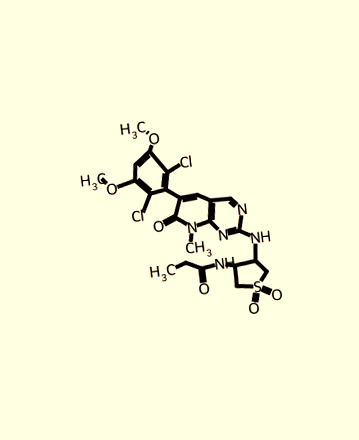 CCC(=O)NC1CS(=O)(=O)CC1Nc1ncc2cc(-c3c(Cl)c(OC)cc(OC)c3Cl)c(=O)n(C)c2n1